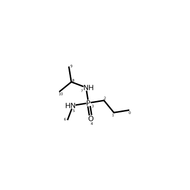 CCCP(=O)(NC)NC(C)C